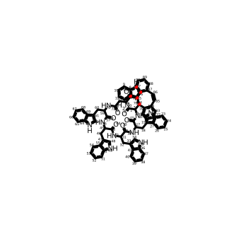 NC(=O)C(Cc1c[nH]c2ccccc12)NC(=O)C(Cc1c[nH]c2ccccc12)NC(=O)C(Cc1c[nH]c2ccccc12)NC(=O)C(Cc1c[nH]c2ccccc12)NC(=O)C(Cc1c[nH]c2ccccc12)NC(=O)CCC(=O)N1Cc2ccccc2C#Cc2ccccc21